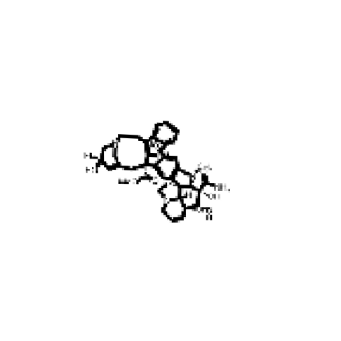 CC[C@]1(O)C=C2CN(CCc3c([nH]c4ccccc34)[C@@](C(=O)OC)(c3cc4c(cc3O)N(C)C3[C@]45CCN4CC=C[C@@](O)([C@@H](O)[C@]3(O)C(N)=O)[C@H]45)C2)C1